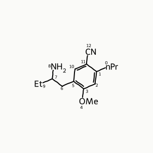 CCCc1cc(OC)c(CC(N)CC)cc1C#N